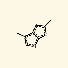 Cc1cc2c(ncn2C)s1